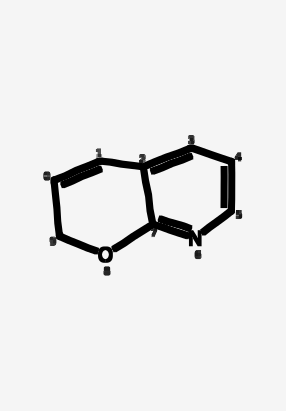 C1=Cc2cccnc2OC1